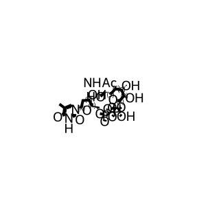 CC(=O)N[C@H]1[C@H](O)[C@@H](O)[C@@H](OP(=O)(O)OP(=O)(O)OC[C@H]2O[C@@H](n3cc(C)c(=O)[nH]c3=O)C[C@@H]2O)O[C@@H]1CO